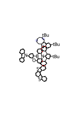 CC(C)(C)/C1=C/c2c(n(-c3ccc4c(c3)N(c3c(-c5ccccc5)cc(C(C)(C)C)cc3-c3ccccc3)c3cc(-c5cccc6c5sc5ccc7sc8ccccc8c7c56)cc5c3B4c3ccc(-n4c6ccccc6c6ccccc64)cc3O5)c3ccc(C(C)(C)C)cc23)C/C=C\C1